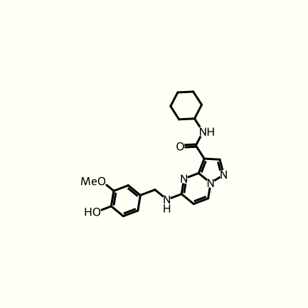 COc1cc(CNc2ccn3ncc(C(=O)NC4CCCCC4)c3n2)ccc1O